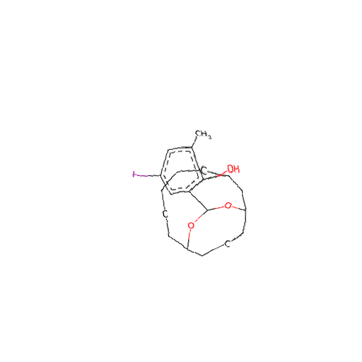 Cc1cc(I)cc(C2OC3CCCCCCCC(CCC3)O2)c1O